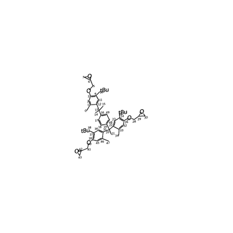 Cc1cc(OCC2CO2)c(C(C)(C)C)cc1C(C)(C)c1ccc(C(C)(c2cc(C(C)(C)C)c(OCC3CO3)cc2C)c2cc(C(C)(C)C)c(OCC3CO3)cc2C)cc1